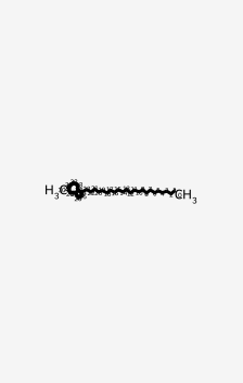 CCCCCCCCCCCCCCCCCCCCCCCCc1ccc2cc(C)cccc1-2